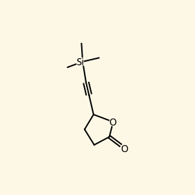 C[Si](C)(C)C#CC1CCC(=O)O1